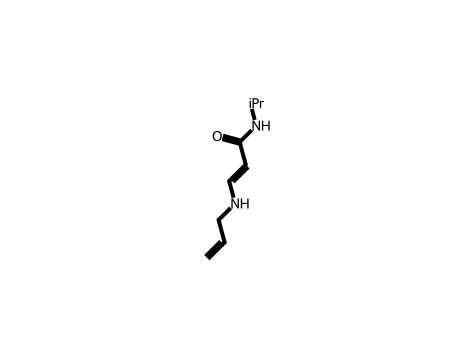 C=CCNC=CC(=O)NC(C)C